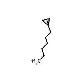 [CH2]CCCCCC1=CC1